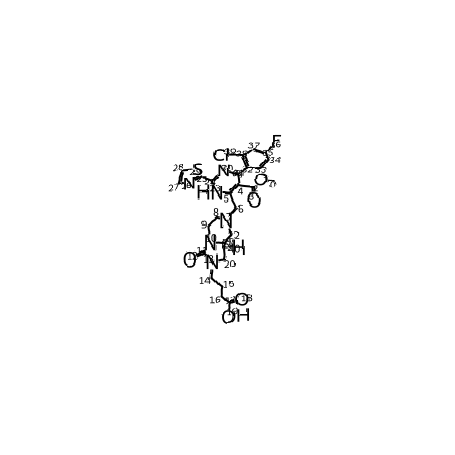 COC(=O)C1=C(CN2CCN3C(=O)N(CCCC(=O)O)C[C@@H]3C2)NC(c2nccs2)=N[C@H]1c1ccc(F)cc1Cl